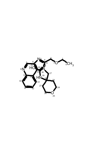 CCOCc1nc2cnc3ccccc3c2n1CC1(NC(=O)O)CCOCC1